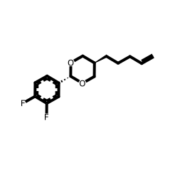 C=CCCC[C@H]1CO[C@H](c2ccc(F)c(F)c2)OC1